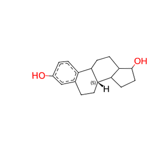 Oc1ccc2c(c1)CC[C@@H]1C2CCC2C(O)CCC21